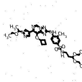 CCOC(CCNS(=O)(=O)c1ccc(Nc2nc3c(OC4CCC4)c(-c4cnn(C(C)OCC)c4)ncn3n2)c(C)c1)OCC